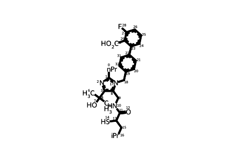 CCCc1nc(C(C)(C)O)c(CNC(=O)C(S)CC(C)C)n1Cc1ccc(-c2cccc(F)c2C(=O)O)cc1